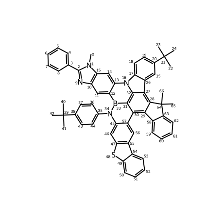 Cn1c(-c2ccccc2)nc2cc3c(cc21)-n1c2ccc(C(C)(C)C)cc2c2c4c(c5c(c21)B3N(c1ccc(C(C)(C)C)cc1)c1cc2sc3ccccc3c2cc1-5)-c1ccccc1C4(C)C